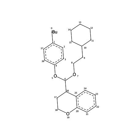 CCC(C)c1ccc(OC(OCCC2CCCCC2)C2CCOc3ccccc32)cc1